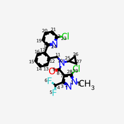 Cn1nc(C(F)F)c(C(=O)N(Cc2ccccc2-c2cccc(Cl)n2)C2CC2)c1Cl